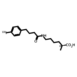 C[C@@H](CCCCNC(=O)CCCc1ccc([131I])cc1)C(=O)O